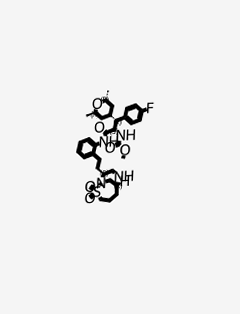 COC(=O)N[C@H](C(=O)Nc1ccccc1CC[C@H]1CN[C@@H]2CCCS(=O)(=O)N1C2)[C@@H](c1ccc(F)cc1)C1C[C@@H](C)O[C@H](C)C1